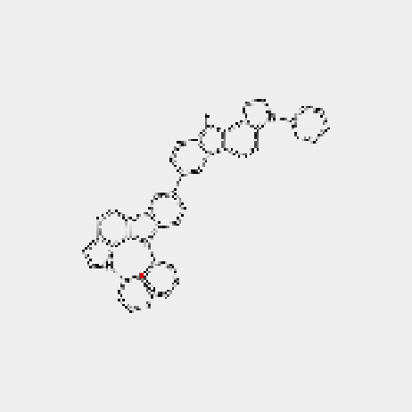 c1ccc(-n2ccc3c4[nH]c5ccc(-c6ccc7c(c6)c6ccc8ccn(-c9ccccc9)c8c6n7-c6ccccc6)cc5c4ccc32)cc1